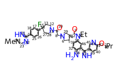 CCN(C(=O)[C@@H]1CCN(CC(=O)N2CCC(F)(c3ccc(C(=N)/N=C\NC)cc3)CC2)C1)c1ccc(N)c(C(=N)c2ccc(OC(C)C)nc2)c1